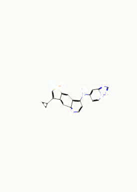 O=S1(=O)C=C(C2CC2)c2cc3nccc(Nc4ccn5ncnc5c4)c3cc21